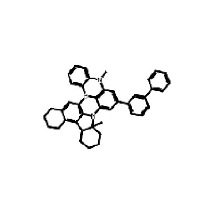 CN1c2ccccc2B2c3cc4c(c5c3N(c3cc(-c6cccc(-c7ccccc7)c6)cc1c32)C1(C)CCCCC51)CCCC4